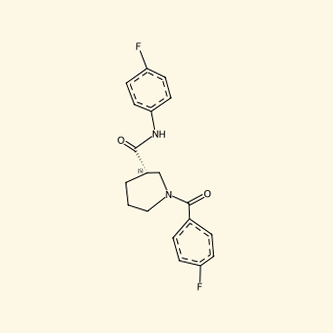 O=C(Nc1ccc(F)cc1)[C@H]1CCCN(C(=O)c2ccc(F)cc2)C1